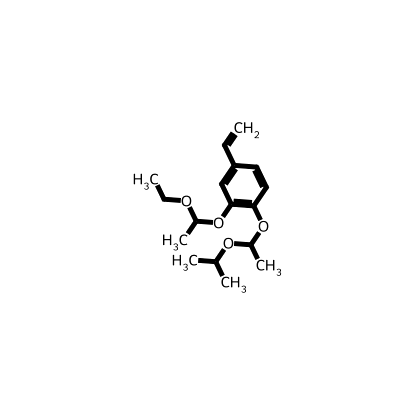 C=Cc1ccc(OC(C)OC(C)C)c(OC(C)OCC)c1